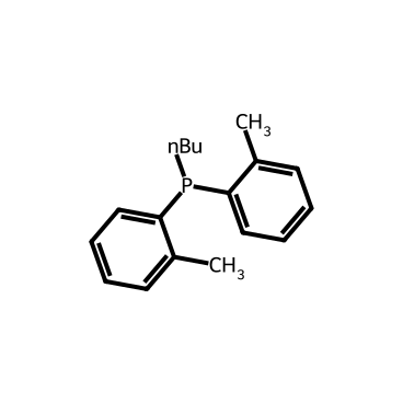 CCCCP(c1ccccc1C)c1ccccc1C